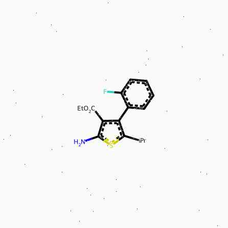 CCOC(=O)c1c(N)sc(C(C)C)c1-c1ccccc1F